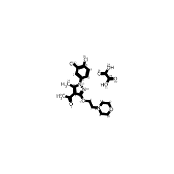 CC(=O)c1c(OCCN2CCOCC2)nn(-c2ccc(Cl)c(Cl)c2)c1C.O=C(O)C(=O)O